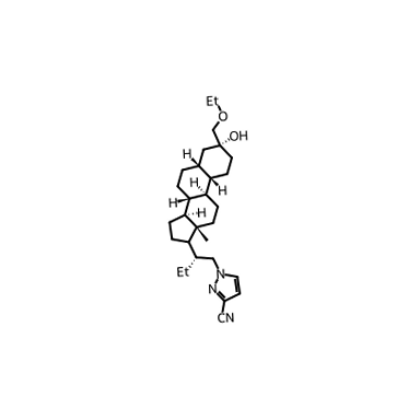 CCOC[C@@]1(O)CC[C@H]2[C@H](CC[C@@H]3[C@@H]2CC[C@]2(C)C([C@@H](CC)Cn4ccc(C#N)n4)CC[C@@H]32)C1